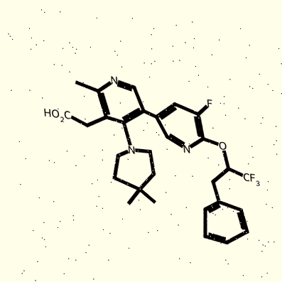 Cc1ncc(-c2cnc(OC(Cc3ccccc3)C(F)(F)F)c(F)c2)c(N2CCC(C)(C)CC2)c1CC(=O)O